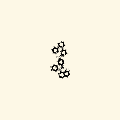 Cc1cccc2ccnc(N(C(=O)c3ccc(Nc4nccc(N5CCOCC5c5cccnc5)n4)cc3F)[C@@H]3CCCNC3)c12